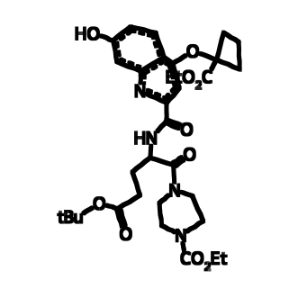 CCOC(=O)N1CCN(C(=O)C(CCC(=O)OC(C)(C)C)NC(=O)c2cc(OC3(C(=O)OCC)CCC3)c3ccc(O)cc3n2)CC1